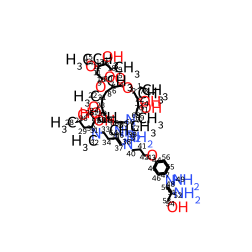 CC[C@H]1OC(=O)[C@H](C)[C@@H](O[C@H]2C[C@@](C)(OC)[C@@H](O)[C@H](C)O2)[C@H](C)[C@@H](O[C@@H]2O[C@H](C)C[C@H](N(C)CC/C(N)=C/N(N)CCCOc3ccc(N(N)/C=C(\N)CO)cc3)[C@H]2O)[C@](C)(O)C[C@@H](C)CN(C)[C@H](C)[C@@H](O)[C@]1(C)O